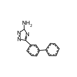 NC1N=NC(c2cccc(-c3ccccc3)c2)=N1